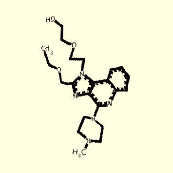 CCOCc1nc2c(N3CCN(C)CC3)nc3ccccc3c2n1CCOCCO